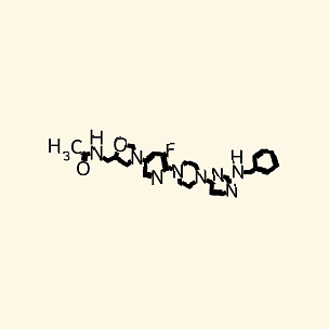 CC(=O)NCC1CN(c2cnc(N3CCN(c4ccnc(NCc5ccccc5)n4)CC3)c(F)c2)CO1